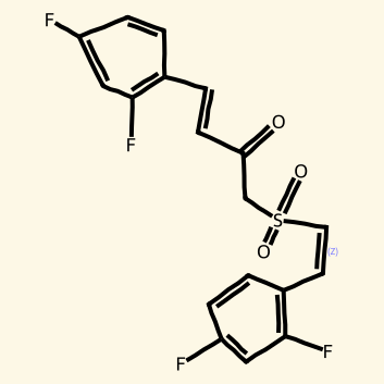 O=C(C=Cc1ccc(F)cc1F)CS(=O)(=O)/C=C\c1ccc(F)cc1F